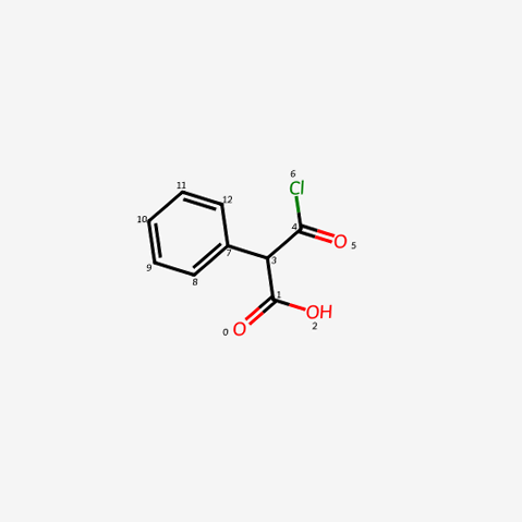 O=C(O)C(C(=O)Cl)c1ccccc1